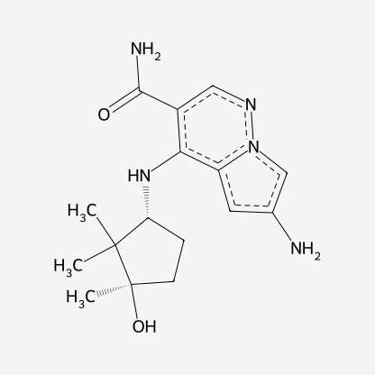 CC1(C)[C@H](Nc2c(C(N)=O)cnn3cc(N)cc23)CC[C@@]1(C)O